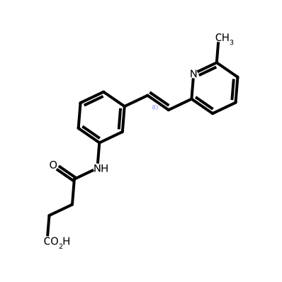 Cc1cccc(/C=C/c2cccc(NC(=O)CCC(=O)O)c2)n1